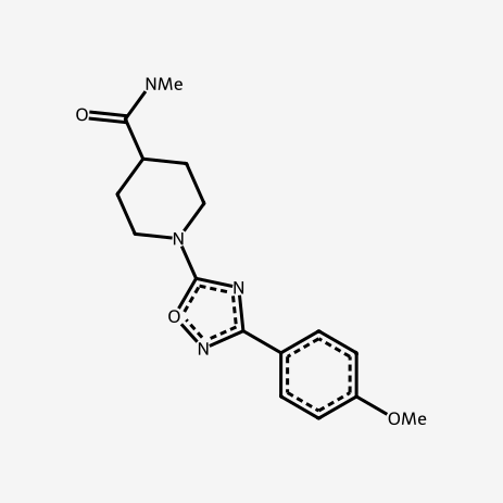 CNC(=O)C1CCN(c2nc(-c3ccc(OC)cc3)no2)CC1